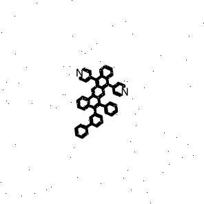 c1ccc(-c2cccc(-c3c(-c4ccccc4)c4cc5c(-c6ccncc6)c6ccccc6c(-c6ccncc6)c5cc4c4ccccc34)c2)cc1